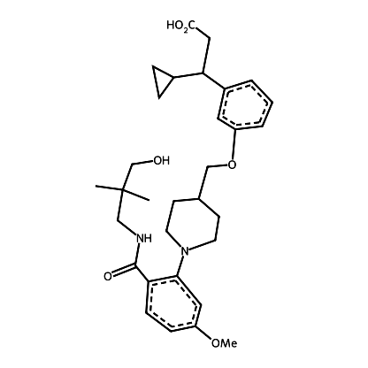 COc1ccc(C(=O)NCC(C)(C)CO)c(N2CCC(COc3cccc(C(CC(=O)O)C4CC4)c3)CC2)c1